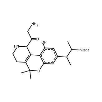 CCCCCC(C)C(C)c1cc(O)c2c(c1)OC(C)(C)C1=C2C(C(=O)CN)NCC1